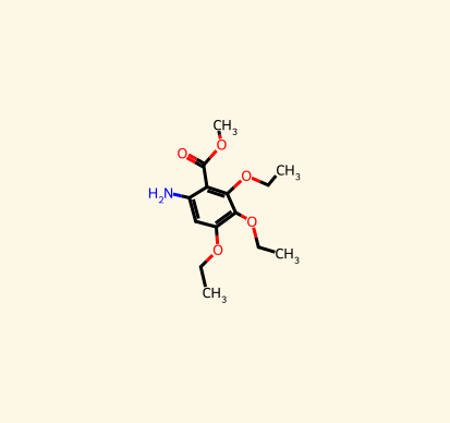 CCOc1cc(N)c(C(=O)OC)c(OCC)c1OCC